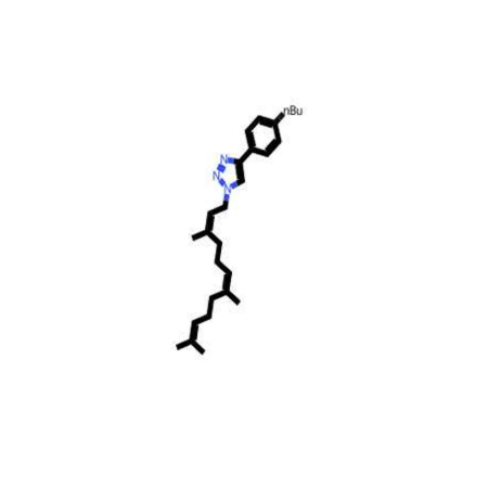 CCCCc1ccc(-c2cn(CC=C(C)CCC=C(C)CCC=C(C)C)nn2)cc1